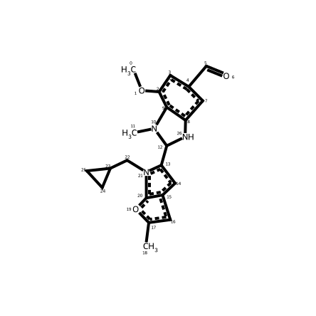 COc1cc(C=O)cc2c1N(C)C(c1cc3cc(C)oc3n1CC1CC1)N2